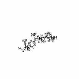 CN(C(=O)N1CCN([C@H]2C[C@](CC#N)(n3cc(-c4ncnc5[nH]ccc45)cn3)C2)CC1)C1CC1